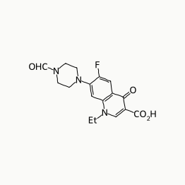 CCn1cc(C(=O)O)c(=O)c2cc(F)c(N3CCN(C=O)CC3)cc21